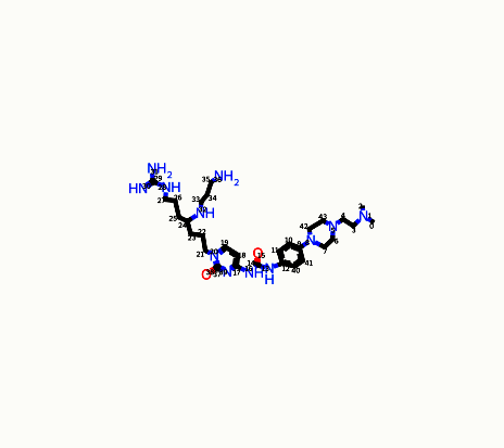 CN(C)CCN1CCN(c2ccc(NC(=O)Nc3ccn(CCCC(CCCNC(=N)N)NCCCN)c(=O)n3)cc2)CC1